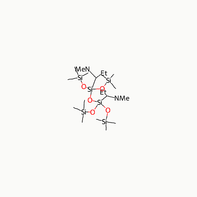 CCC(NC)[Si](O[Si](C)(C)C)(O[Si](C)(C)C)O[Si](O[Si](C)(C)C)(O[Si](C)(C)C)C(CC)NC